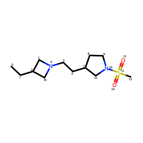 CCC1CN(CCC2CCN(S(C)(=O)=O)C2)C1